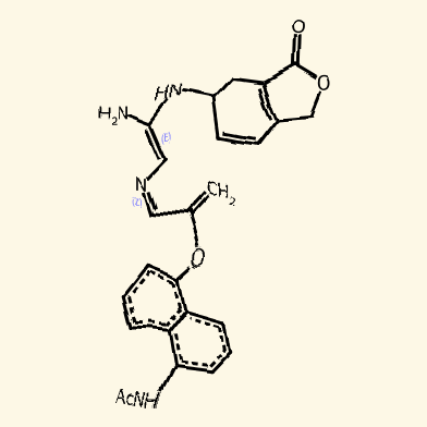 C=C(/C=N\C=C(/N)NC1C=CC2=C(C1)C(=O)OC2)Oc1cccc2c(NC(C)=O)cccc12